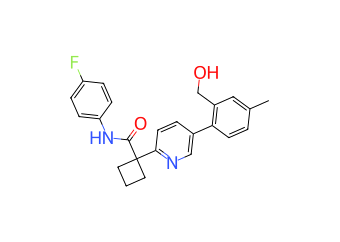 Cc1ccc(-c2ccc(C3(C(=O)Nc4ccc(F)cc4)CCC3)nc2)c(CO)c1